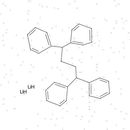 [LiH].[LiH].c1ccc(C(CCC(c2ccccc2)c2ccccc2)c2ccccc2)cc1